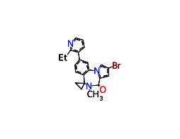 CCc1ncccc1-c1ccc2c(c1)-n1cc(Br)cc1C(=O)N(C)C21CC1